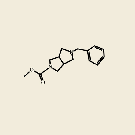 COC(=O)N1CC2CN(Cc3ccccc3)CC2C1